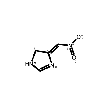 O=[N+]([O-])C=C1CNC=N1